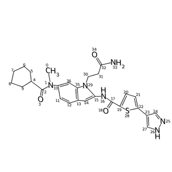 CN(C(=O)C1CCCCC1)c1ccc2cc(NC(=O)c3ccc(-c4cn[nH]c4)s3)n(CCC(N)=O)c2c1